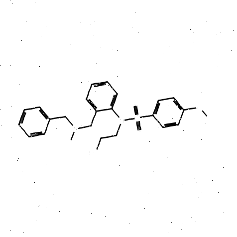 COc1ccc(S(=O)(=O)N(CCO)c2ccccc2CN(C)Cc2ccccc2)cc1